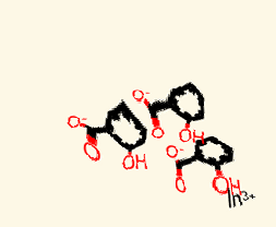 O=C([O-])c1ccccc1O.O=C([O-])c1ccccc1O.O=C([O-])c1ccccc1O.[In+3]